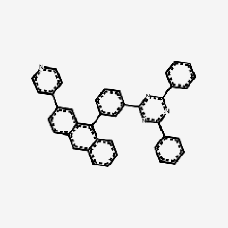 c1ccc(-c2nc(-c3ccccc3)nc(-c3cccc(-c4c5ccccc5cc5ccc(-c6ccncc6)cc45)c3)n2)cc1